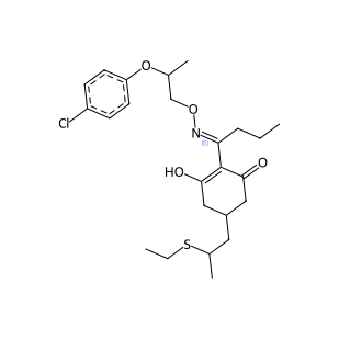 CCC/C(=N\OCC(C)Oc1ccc(Cl)cc1)C1=C(O)CC(CC(C)SCC)CC1=O